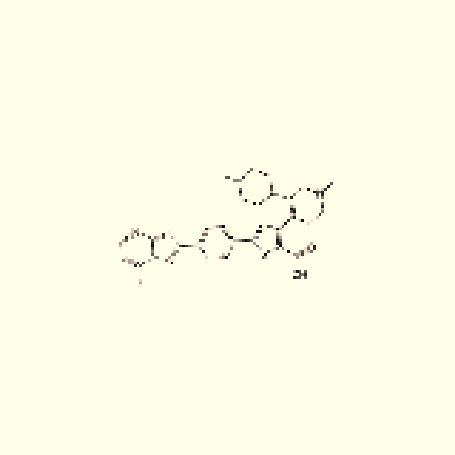 Cc1ccnc2cc(-c3ccc(-c4cc(C5=C(C6CCC(C)CC6)CN(C)CC5)c(C(=O)O)s4)cc3)nn12